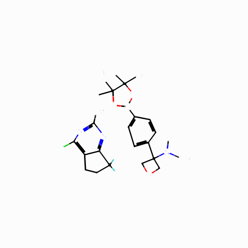 CC(C)(C)N(C(=O)O)C1(c2ccc(B3OC(C)(C)C(C)(C)O3)cc2)COC1.CSc1nc(Cl)c2c(n1)C(F)(F)CC2